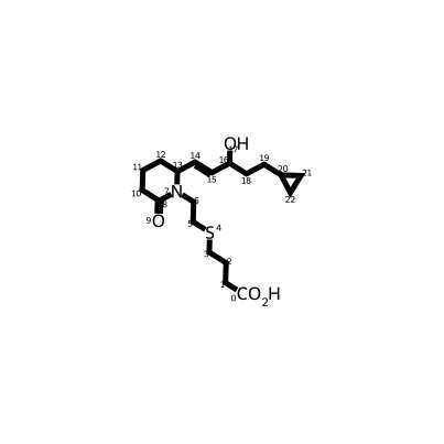 O=C(O)CCCSCCN1C(=O)CCCC1C=CC(O)CCC1CC1